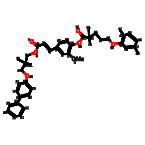 COc1cc(C=CC(=O)OCC(C)(C)COc2ccc(-c3ccccc3)cc2)ccc1OC(=O)C(C)(C)CCCOc1cc(C)ccc1C